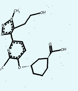 Cc1nc(-c2nnn(C)c2CCO)ccc1O[C@H]1CCC[C@H](C(=O)O)C1